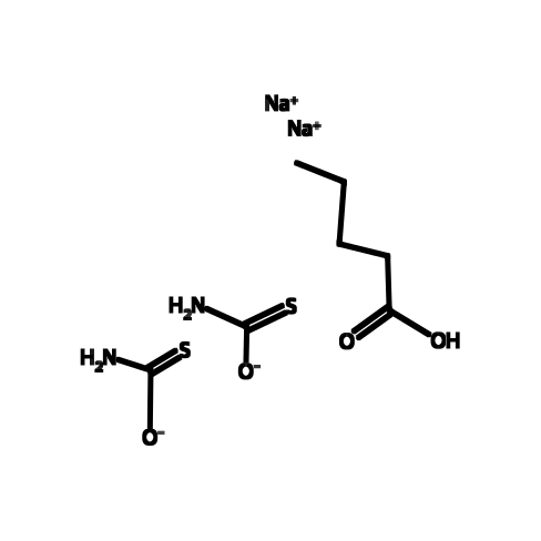 CCCCC(=O)O.NC([O-])=S.NC([O-])=S.[Na+].[Na+]